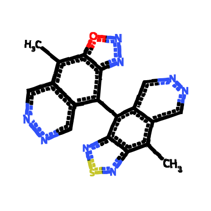 Cc1c2cnncc2c(-c2c3cnncc3c(C)c3onnc23)c2nsnc12